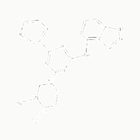 CC(=O)N1C[C@H](c2nc(Nc3cccc4[nH]ncc34)cc(-c3cccnc3)n2)CC[C@@H]1C